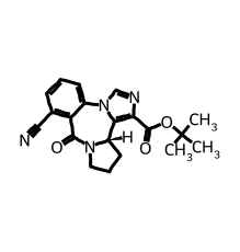 CC(C)(C)OC(=O)c1ncn2c1[C@@H]1CCCN1C(=O)c1c(C#N)cccc1-2